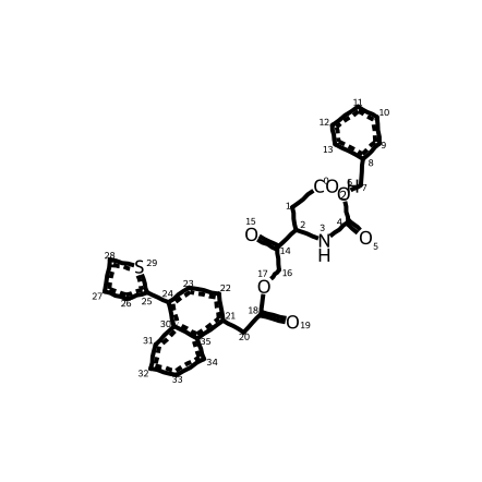 O=C(O)CC(NC(=O)OCc1ccccc1)C(=O)COC(=O)Cc1ccc(-c2cccs2)c2ccccc12